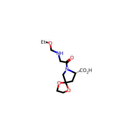 CCOCNCC(=O)N1CC2(C[C@H]1C(=O)O)OCCO2